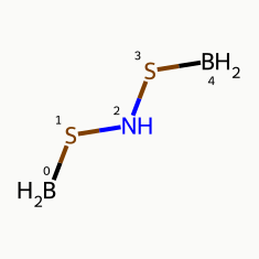 BSNSB